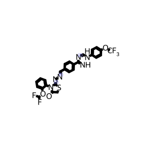 N=C(/N=C\Nc1ccc(OC(F)(F)F)cc1)c1ccc(/C=N/N=C2\SCC(=O)N2c2ccccc2OC(F)F)cc1